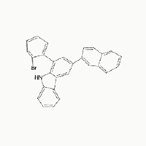 Brc1ccccc1-c1cc(-c2ccc3ccccc3c2)cc2c1[nH]c1ccccc12